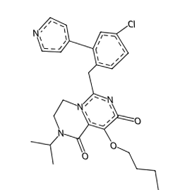 CCCCOc1c2n(c(Cc3ccc(Cl)cc3-c3ccncc3)nc1=O)CCN(C(C)C)C2=O